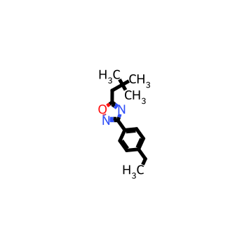 CCc1ccc(-c2noc(CC(C)(C)C)n2)cc1